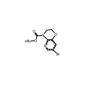 CCCCOC(=O)N1CCOc2cc(Br)cnc21